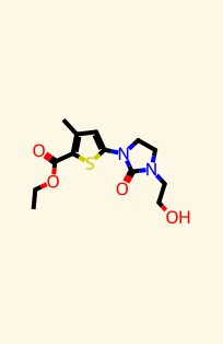 CCOC(=O)c1sc(N2CCN(CCO)C2=O)cc1C